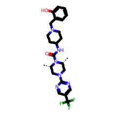 C[C@@H]1CN(c2ncc(C(F)(F)F)cn2)C[C@H](C)N1C(=O)NC1CCN(Cc2ccccc2O)CC1